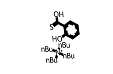 CCCC[N+](CCCC)(CCCC)CCCC.OC(=S)c1ccccc1O